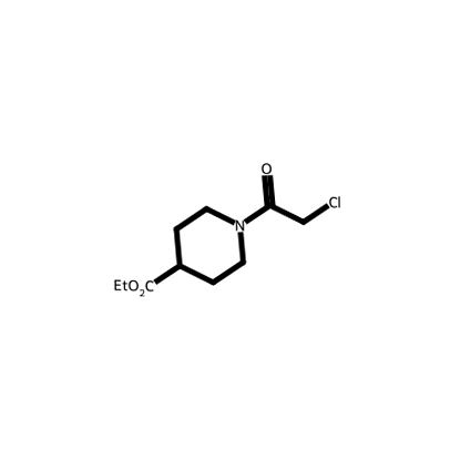 CCOC(=O)C1CCN(C(=O)CCl)CC1